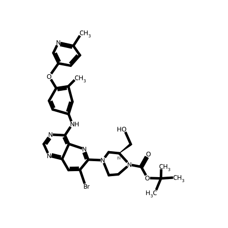 Cc1ccc(Oc2ccc(Nc3ncnc4cc(Br)c(N5CCN(C(=O)OC(C)(C)C)[C@H](CO)C5)nc34)cc2C)cn1